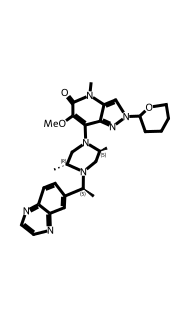 COc1c(N2C[C@@H](C)N([C@@H](C)c3ccc4nccnc4c3)C[C@@H]2C)c2nn(C3CCCCO3)cc2n(C)c1=O